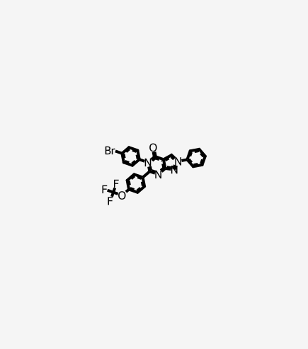 O=c1c2cn(-c3ccccc3)nc2nc(-c2ccc(OC(F)(F)F)cc2)n1-c1ccc(Br)cc1